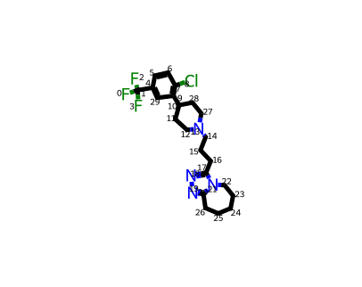 FC(F)(F)c1ccc(Cl)c(C2CCN(CCCc3nnc4n3CCCCC4)CC2)c1